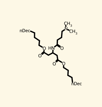 CCCCCCCCCCCCCCOC(=O)CC(CC(=O)OCCCCCCCCCCCCCC)NC(=O)CCCN(C)C